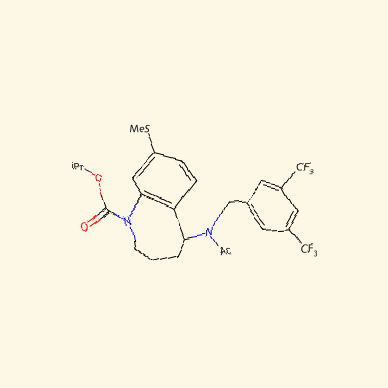 CSc1ccc2c(c1)N(C(=O)OC(C)C)CCCC2N(Cc1cc(C(F)(F)F)cc(C(F)(F)F)c1)C(C)=O